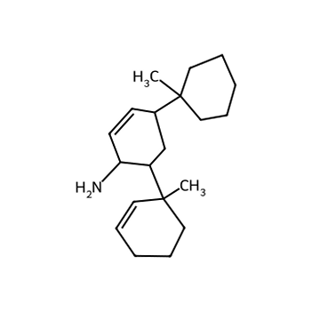 CC1(C2CC(C3(C)CCCCC3)C=CC2N)C=CCCC1